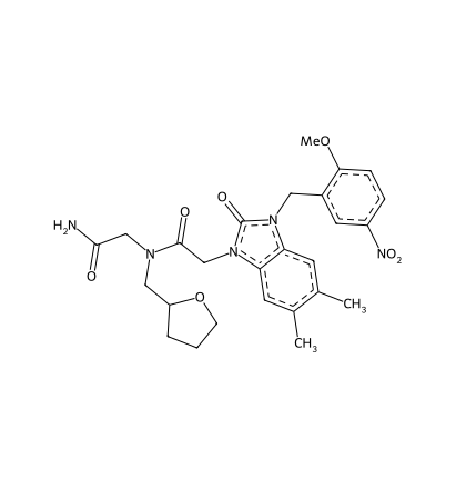 COc1ccc([N+](=O)[O-])cc1Cn1c(=O)n(CC(=O)N(CC(N)=O)CC2CCCO2)c2cc(C)c(C)cc21